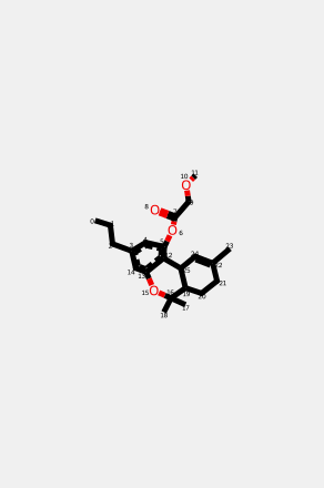 CCCc1cc(OC(=O)COC)c2c(c1)OC(C)(C)C1CCC(C)=CC21